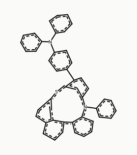 c1ccc(N(c2ccccc2)c2ccc(-c3ccc4cc3sc3ccc5cccc(c5c3)c3ccccc3n4-c3ccccc3)cc2)cc1